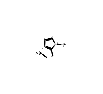 CCCn1ccnc1C.CNC